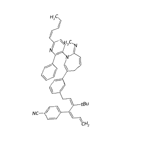 C=C/C=C(\C(=C/Cc1cccc(C2=CN(c3ccc(/C=C\C=C/C)nc3-c3ccccc3)/C(=N\C)C=CC2)c1)C(C)(C)C)c1ccc(C#N)cc1